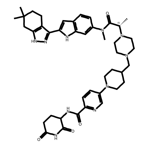 C[C@@H](C(=O)N(C)c1ccc2cc(-c3n[nH]c4c3CCC(C)(C)C4)[nH]c2c1)N1CCN(CC2CCN(c3ccc(C(=O)NC4CCC(=O)NC4=O)nc3)CC2)CC1